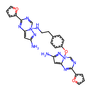 NC1=N[N+]2(NCCc3ccc(O[N+]45C=NC(c6ccco6)=NC4=CC(N)=N5)cc3)C=NC(c3ccco3)=NC2=C1